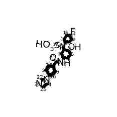 O=C(Nc1ccc(O)c(N(c2ccc(F)cc2)S(=O)(=O)O)c1)c1ccc(-n2ccnc2)cc1